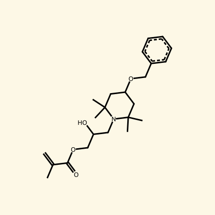 C=C(C)C(=O)OCC(O)CN1C(C)(C)CC(OCc2ccccc2)CC1(C)C